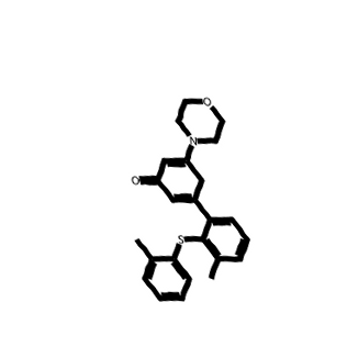 Cc1ccccc1Sc1c(C)cccc1C1=CC(=O)C=C(N2CCOCC2)C1